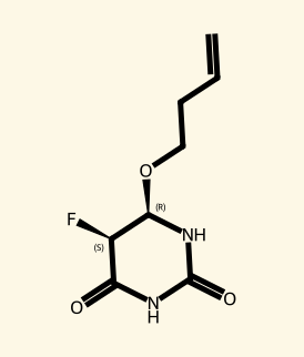 C=CCCO[C@H]1NC(=O)NC(=O)[C@H]1F